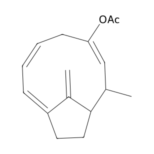 C=C1/C2=C\C=C/C/C(OC(C)=O)=C\C(C)C1CC2